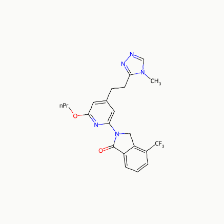 CCCOc1cc(CCc2nncn2C)cc(N2Cc3c(cccc3C(F)(F)F)C2=O)n1